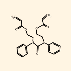 C=CC(=O)OCCN(C(=O)N(CCOC(=O)C=C)c1ccccc1)c1ccccc1